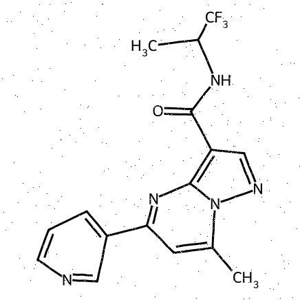 Cc1cc(-c2cccnc2)nc2c(C(=O)NC(C)C(F)(F)F)cnn12